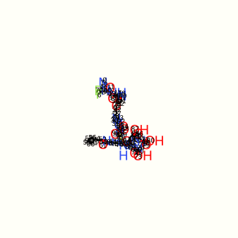 C/N=C/[C@H]1CC(F)(F)CN1C(=O)CNC(=O)c1ccnc2ccc(OCCCCN3CCN(C(=O)CN4C(=O)CC(SCC(CCCCCNC(=O)CCCc5ccc(C)cc5)NC(=O)CN5CCN(CC(=O)O)CCN(CC(=O)O)CCN(CC(=O)O)CC5)C4=O)CC3)cc12